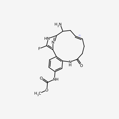 COC(=O)Nc1ccc2c(c1)NC(=O)CC/C=C/CC(N)c1nc-2c(F)[nH]1